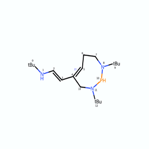 CC(C)(C)NC=C/C1=C\CCN(C(C)(C)C)PN(C(C)(C)C)C1